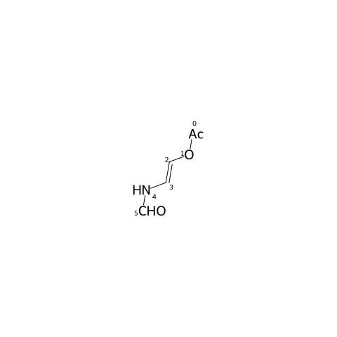 CC(=O)OC=CNC=O